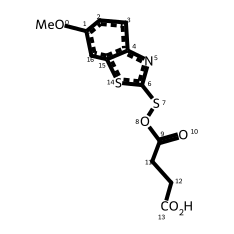 COc1ccc2nc(SOC(=O)CCC(=O)O)sc2c1